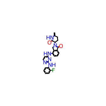 C=C1CCC(N2Cc3c(Nc4ccnc(Nc5ccccc5F)n4)cccc3C2=O)C(=O)N1